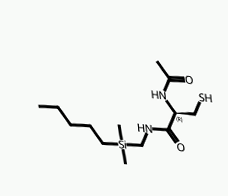 CCCCC[Si](C)(C)CNC(=O)[C@H](CS)NC(C)=O